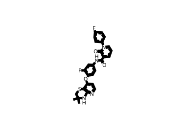 CC1(C)CSc2c(Oc3ccc(NC(=O)c4cccn(-c5ccc(F)cc5)c4=O)cc3F)ccnc2N1